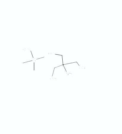 C[Si](C)(C)[SiH3].NC(CO)(CO)CO